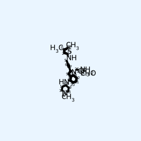 Cc1cc(NCC#Cc2cc3c(NC4CCN(C)CC4)cccc3n2CC(F)(F)F)sc1C.NC=O